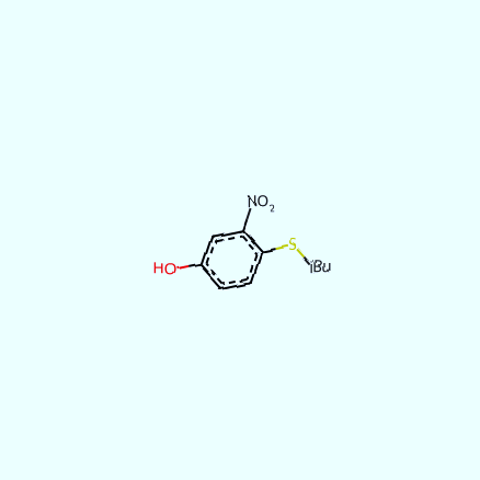 CCC(C)Sc1ccc(O)cc1[N+](=O)[O-]